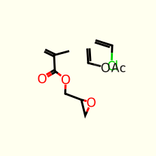 C=C(C)C(=O)OCC1CO1.C=CCl.C=COC(C)=O